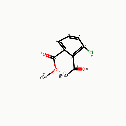 CCCCOC(=O)c1cccc(Cl)c1C(=O)OCC(C)C